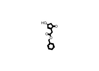 O=C(CC1=C[C@@H](O)CC1=O)OCc1ccccc1